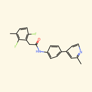 Cc1cc(-c2ccc(NC(=O)Cc3c(F)ccc(C)c3F)cc2)ccn1